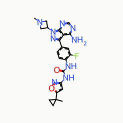 CN1CC(n2nc(-c3ccc(NC(=O)Nc4cc(C5(C)CC5)on4)c(F)c3)c3c(N)ncnc32)C1